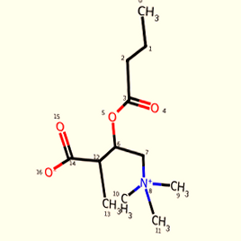 CCCC(=O)OC(C[N+](C)(C)C)C(C)C(=O)[O-]